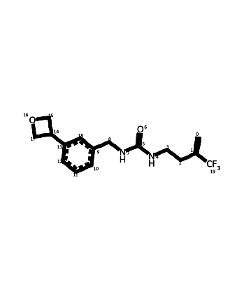 C=C(CCNC(=O)NCc1cccc(C2COC2)c1)C(F)(F)F